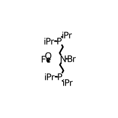 C=O.CC(C)P(CCN(Br)CCP(C(C)C)C(C)C)C(C)C.[Fe]